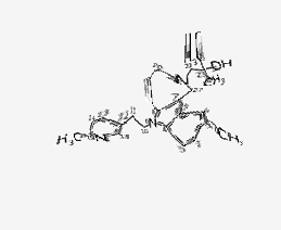 Cc1ccc2c(c1)c1c(n2CCc2ccc(C)nc2)CCN(CC(C)(C)O)C1